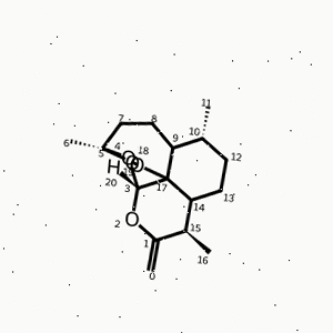 C=C1O[C@@H]2O[C@]3(C)CCC4[C@H](C)CCC([C@H]1C)C42OO3